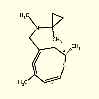 CC1=C=C(CN(C)C2(C)CC2)C[C@H](C)C/C=C\1